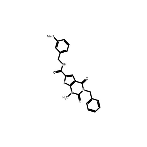 COc1cccc(CNC(=O)c2cc3c(=O)n(Cc4ccccc4)c(=O)n(C)c3s2)c1